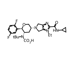 CCn1c(C(=O)NC2CC2)nc2c1CN([C@H]1CO[C@H](c3cc(F)ccc3F)[C@@H](N(C(=O)O)C(C)(C)C)C1)C2